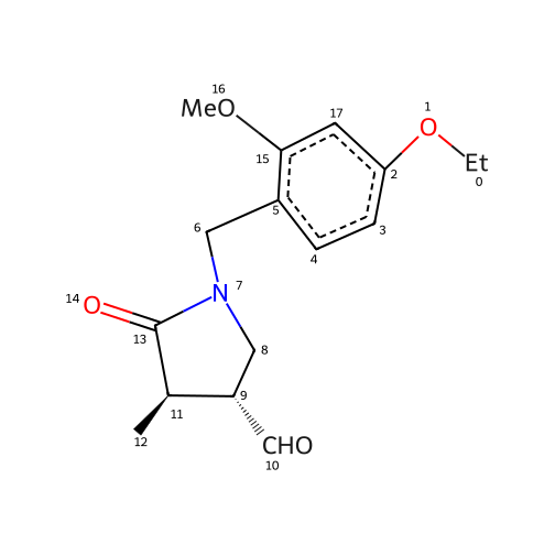 CCOc1ccc(CN2C[C@H](C=O)[C@@H](C)C2=O)c(OC)c1